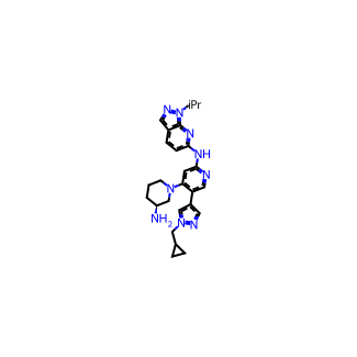 CC(C)n1ncc2ccc(Nc3cc(N4CCC[C@H](N)C4)c(-c4cnn(CC5CC5)c4)cn3)nc21